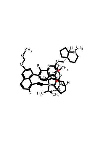 COCOc1cc(-c2ccc3c(N4C[C@H]5CC[C@@H](C4)N5C(=O)OC(C)(C)C)nc(OC[C@]45CCC[C@H]4N(C)CCC5)nc3c2F)c2c(C#C[Si](C(C)C)(C(C)C)C(C)C)c(F)ccc2c1